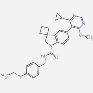 CCSc1ccc(CNC(=O)N2CC3(CCC3)c3cc(-c4c(OC)ncnc4C4CC4)ccc32)cc1